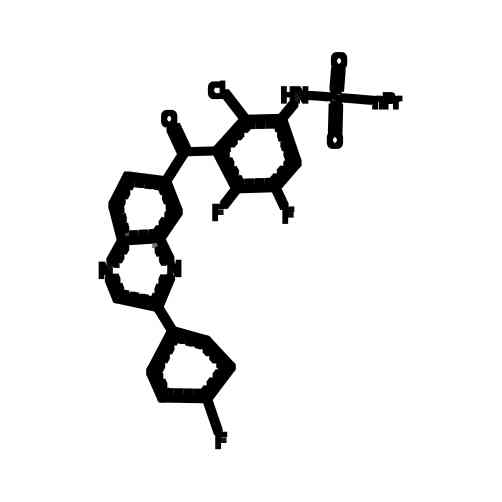 CCCS(=O)(=O)Nc1cc(F)c(F)c(C(=O)c2ccc3ncc(-c4ccc(F)cc4)nc3c2)c1Cl